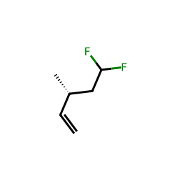 C=C[C@H](C)CC(F)F